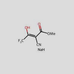 COC(=O)/C(C#N)=C(\O)C(F)(F)F.[NaH]